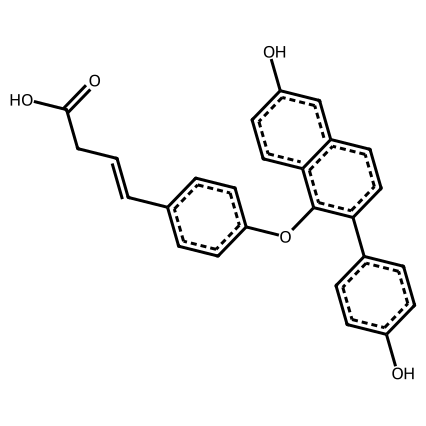 O=C(O)CC=Cc1ccc(Oc2c(-c3ccc(O)cc3)ccc3cc(O)ccc23)cc1